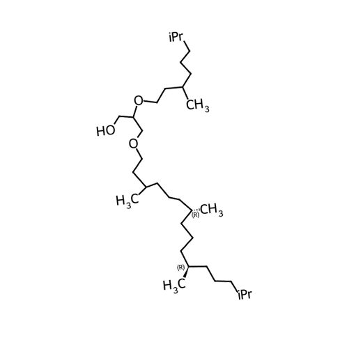 CC(C)CCCC(C)CCOC(CO)COCCC(C)CCC[C@H](C)CCC[C@H](C)CCCC(C)C